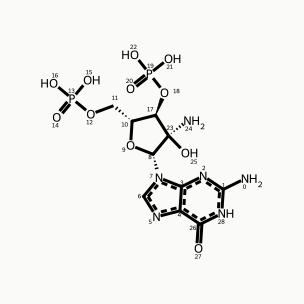 Nc1nc2c(ncn2[C@@H]2O[C@H](COP(=O)(O)O)[C@@H](OP(=O)(O)O)[C@@]2(N)O)c(=O)[nH]1